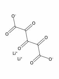 O=C([O-])C(=O)C(=O)C(=O)C(=O)[O-].[Li+].[Li+]